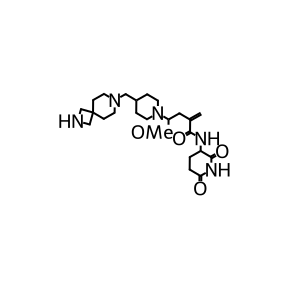 C=C(CC(OC)N1CCC(CN2CCC3(CC2)CNC3)CC1)C(=O)NC1CCC(=O)NC1=O